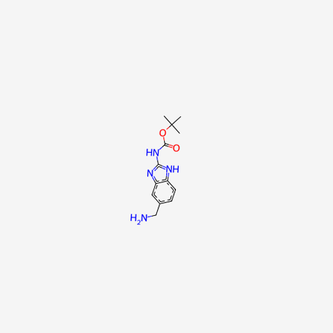 CC(C)(C)OC(=O)Nc1nc2cc(CN)ccc2[nH]1